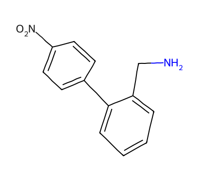 NCc1ccccc1-c1ccc([N+](=O)[O-])cc1